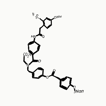 CCCCCCCCCOc1ccc(C(=O)Oc2ccc(CN(CC(=O)O)C(=O)c3ccc(NC(=O)Cc4ccc(OC)cc4C(F)(F)F)cc3)cc2)cc1